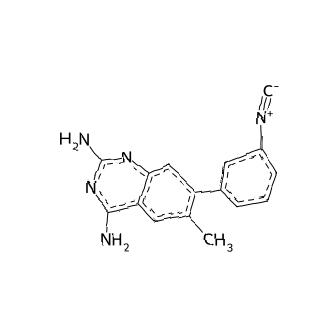 [C-]#[N+]c1cccc(-c2cc3nc(N)nc(N)c3cc2C)c1